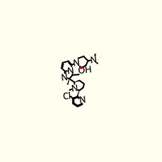 CN(C)C1CCN(C2=CC=CC3=N[C@@](C)([C@H]4CCC[C@@H](c5ncccc5Cl)N4C)C(CO)N23)CC1